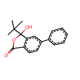 CC(C)(C)C1(O)OC(=O)c2ccc(-c3ccccc3)cc21